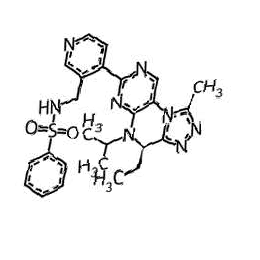 CC[C@@H]1c2nnc(C)n2-c2cnc(-c3ccncc3CNS(=O)(=O)c3ccccc3)nc2N1C(C)C